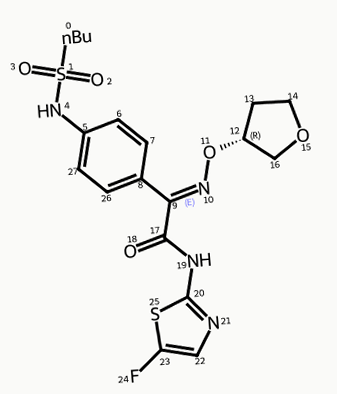 CCCCS(=O)(=O)Nc1ccc(/C(=N\O[C@@H]2CCOC2)C(=O)Nc2ncc(F)s2)cc1